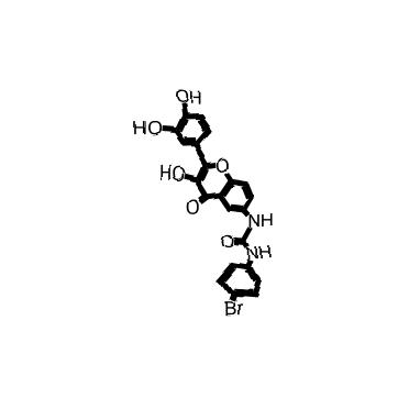 O=C(Nc1ccc(Br)cc1)Nc1ccc2oc(-c3ccc(O)c(O)c3)c(O)c(=O)c2c1